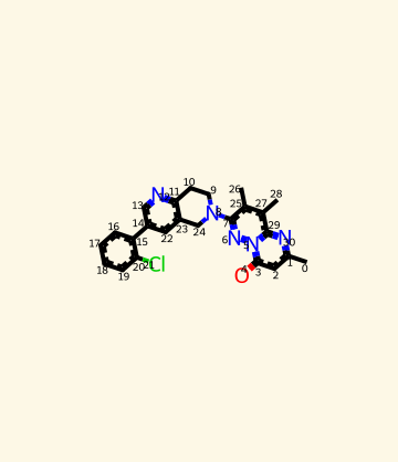 Cc1cc(=O)n2nc(N3CCc4ncc(-c5ccccc5Cl)cc4C3)c(C)c(C)c2n1